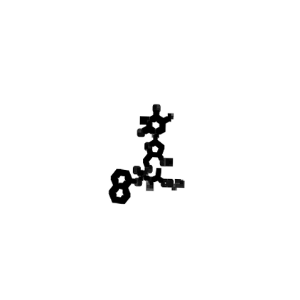 CCOC(=O)[C@H](C)NP(=O)(OCC1O[C@@H](n2cc(F)c(=O)[nH]c2=O)C[C@H]1O)Oc1cccc2ccccc12